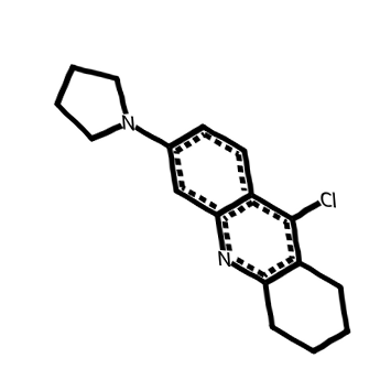 Clc1c2c(nc3cc(N4CCCC4)ccc13)CCCC2